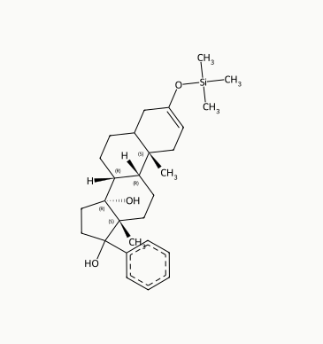 C[C@]12CC=C(O[Si](C)(C)C)CC1CC[C@@H]1[C@H]2CC[C@]2(C)C(O)(c3ccccc3)CC[C@@]12O